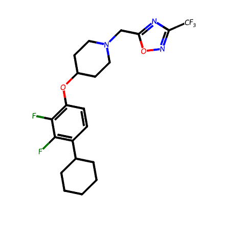 Fc1c(OC2CCN(Cc3nc(C(F)(F)F)no3)CC2)ccc(C2CCCCC2)c1F